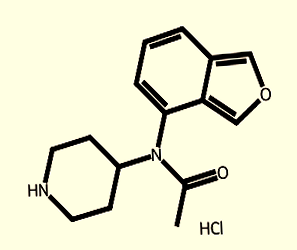 CC(=O)N(c1cccc2cocc12)C1CCNCC1.Cl